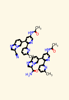 CC(=O)Nc1cnc(-c2cccc(C)n2)c(-c2ccc3ncc(C#N)n3c2)c1.CC(=O)Nc1cnc(-c2cccc(C)n2)c(-c2ccc3ncc(C(N)=O)n3c2)c1